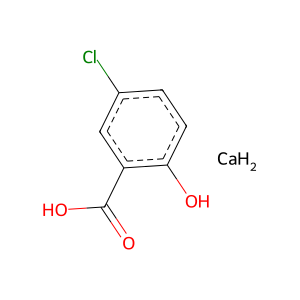 O=C(O)c1cc(Cl)ccc1O.[CaH2]